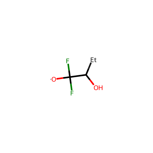 CCC(O)C([O])(F)F